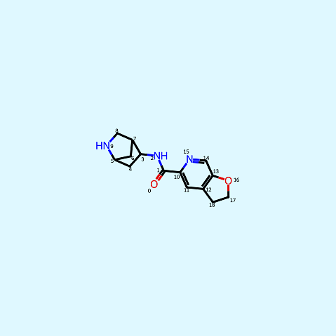 O=C(NC1CC2CC1CN2)c1cc2c(cn1)OCC2